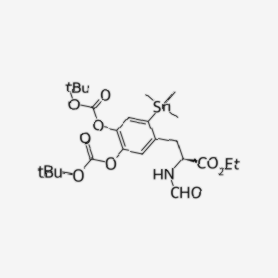 CCOC(=O)[C@H](Cc1cc(OC(=O)OC(C)(C)C)c(OC(=O)OC(C)(C)C)c[c]1[Sn]([CH3])([CH3])[CH3])NC=O